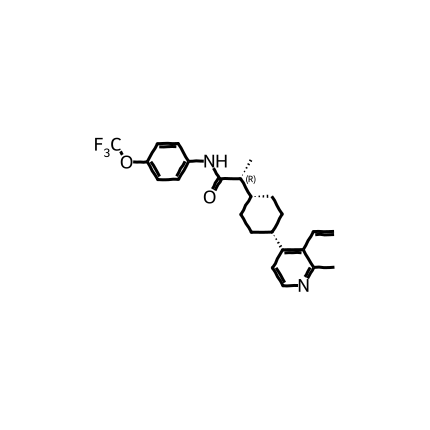 C=Cc1c(C)nccc1[C@H]1CC[C@@H]([C@@H](C)C(=O)Nc2ccc(OC(F)(F)F)cc2)CC1